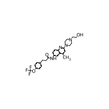 Cc1cc(N2CCN(CCO)CC2)nc2ccc(NC(=O)CCc3ccc(OC(F)(F)F)cc3)cc12